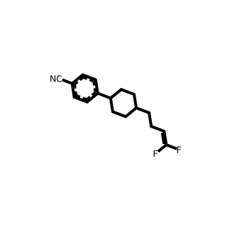 N#Cc1ccc(C2CCC(CCC=C(F)F)CC2)cc1